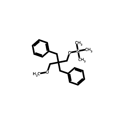 COCC(CO[Si](C)(C)C)(Cc1ccccc1)Cc1ccccc1